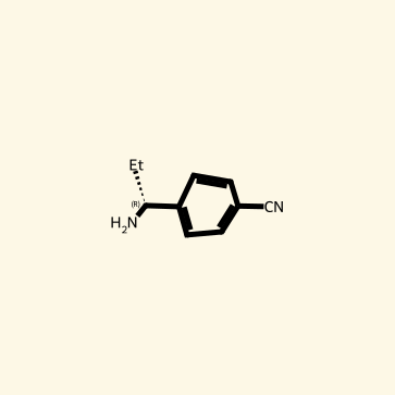 CC[C@@H](N)c1ccc(C#N)cc1